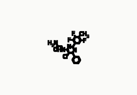 Cc1c(F)cc(-c2nc(NCC(N)=O)c(Cl)c(-c3ccccc3)n2)c(F)c1F